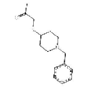 CC(=O)CSC1CCN(Cc2ccccc2)CC1